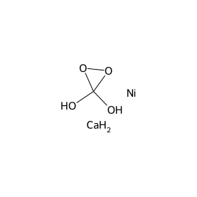 OC1(O)OO1.[CaH2].[Ni]